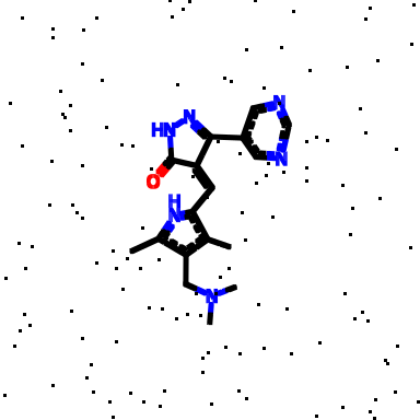 Cc1[nH]c(C=C2C(=O)NN=C2c2cncnc2)c(C)c1CN(C)C